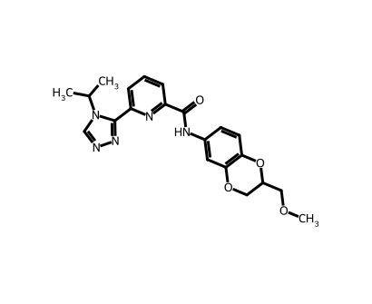 COCC1COc2cc(NC(=O)c3cccc(-c4nncn4C(C)C)n3)ccc2O1